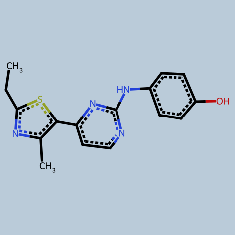 CCc1nc(C)c(-c2ccnc(Nc3ccc(O)cc3)n2)s1